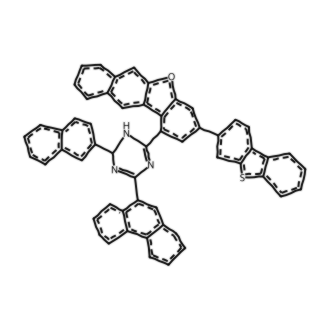 c1ccc2cc(C3N=C(c4cc5ccccc5c5ccccc45)N=C(c4cc(-c5ccc6c(c5)sc5ccccc56)cc5oc6cc7ccccc7cc6c45)N3)ccc2c1